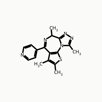 Cc1sc2c(c1C)C(c1ccncc1)=NC(C)c1nnc(C)n1-2